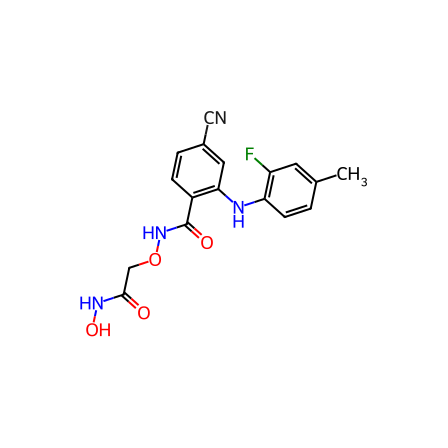 Cc1ccc(Nc2cc(C#N)ccc2C(=O)NOCC(=O)NO)c(F)c1